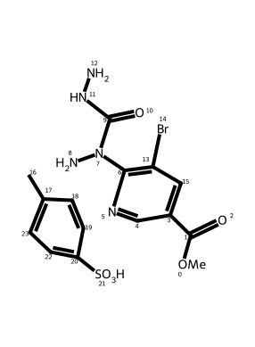 COC(=O)c1cnc(N(N)C(=O)NN)c(Br)c1.Cc1ccc(S(=O)(=O)O)cc1